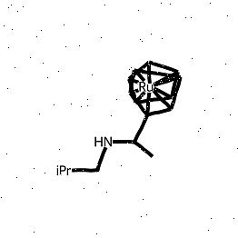 CC(C)CNC(C)[C]12[CH]3[CH]4[CH]5[CH]1[Ru]45321678[CH]2[CH]1[CH]6[CH]7[CH]28